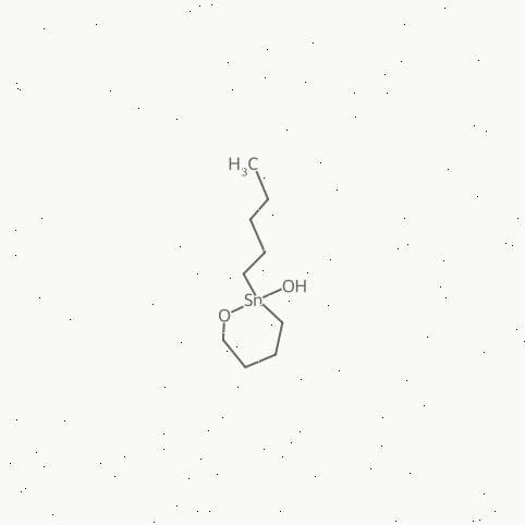 CCCC[CH2][Sn]1([OH])[CH2]CCC[O]1